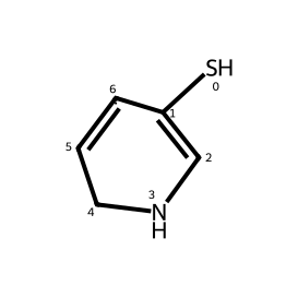 SC1=CNCC=[C]1